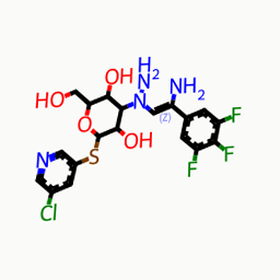 N/C(=C\N(N)C1C(O)C(CO)OC(Sc2cncc(Cl)c2)C1O)c1cc(F)c(F)c(F)c1